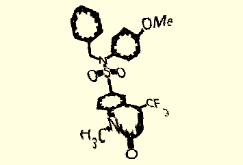 COc1ccc(N(Cc2ccccc2)S(=O)(=O)c2ccc3c(c2)c(C(F)(F)F)cc(=O)n3C)cc1